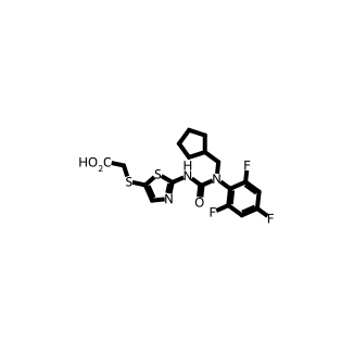 O=C(O)CSc1cnc(NC(=O)N(CC2CCCC2)c2c(F)cc(F)cc2F)s1